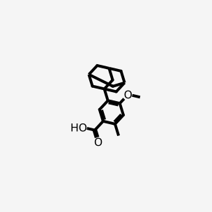 COc1cc(C)c(C(=O)O)cc1C12CC3CC(CC(C3)C1)C2